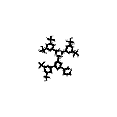 CC(C)(C)c1cc(-c2cc(-c3cccnc3)cc(-c3nc(-c4cc(C(C)(C)C)cc(C(C)(C)C)c4)nc(-c4cc(C(C)(C)C)cc(C(C)(C)C)c4)n3)c2)cc(C(C)(C)C)c1